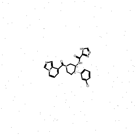 O=C(N[C@@H]1CN(C(=O)c2cccn3cncc23)CC[C@H]1c1cccc(Cl)c1)c1nnc[nH]1